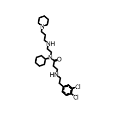 O=C(CCNCCc1ccc(Cl)c(Cl)c1)N(CCNCCCN1CCCCC1)C1CCCCC1